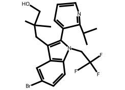 CC(C)c1ncccc1-c1c(CC(C)(C)CO)c2cc(Br)ccc2n1CC(F)(F)F